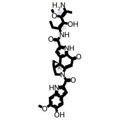 CC/C(NC(=O)c1cc2c([nH]1)C(=O)C=C1N(C(=O)c3cc4cc(O)c(OC)cc4[nH]3)CC3C[C@]123)=C(O)\C(OC)=C(/C)N